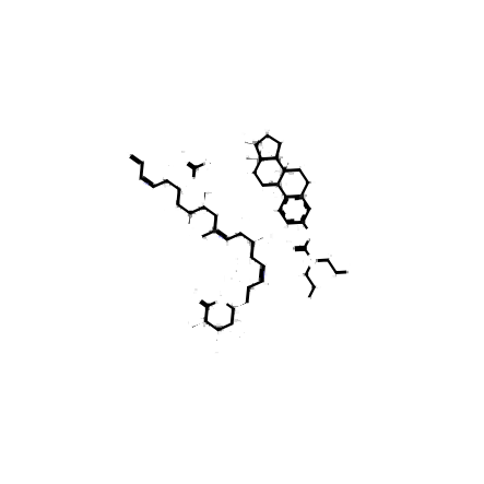 C=C/C=C\[C@H](C)[C@H](OC(N)=O)[C@@H](C)[C@H](O)[C@@H](C)C/C(C)=C\[C@H](C)[C@@H](O)[C@@H](C)/C=C\[C@@H](O)C[C@@H]1OC(=O)[C@H](C)[C@@H](O)[C@H]1C.C[C@]12CC[C@@H]3c4ccc(OC(=O)N(CCCl)CCCl)cc4CC[C@H]3[C@@H]1CC[C@@H]2O